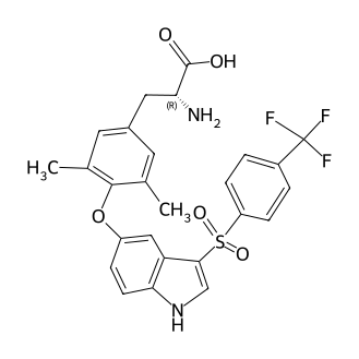 Cc1cc(C[C@@H](N)C(=O)O)cc(C)c1Oc1ccc2[nH]cc(S(=O)(=O)c3ccc(C(F)(F)F)cc3)c2c1